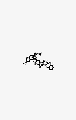 NC(=O)[C@H](Cc1ccccc1)NC(=O)c1cc2c([nH]c1=O)C[C@]13CCN(CC4CC4)[C@H](Cc4ccc(O)cc41)[C@@H]3C2